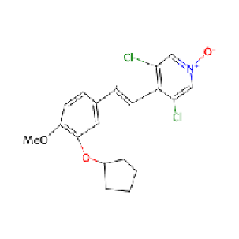 COc1ccc([C]=Cc2c(Cl)c[n+]([O-])cc2Cl)cc1OC1CCCC1